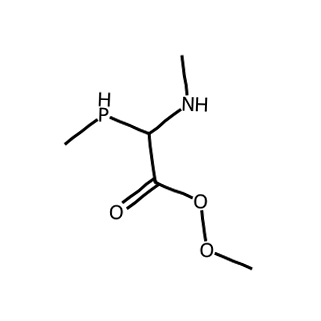 CNC(PC)C(=O)OOC